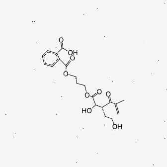 C=C(C)C(=O)C(CCO)C(O)C(=O)OCCCOC(=O)c1ccccc1C(=O)O